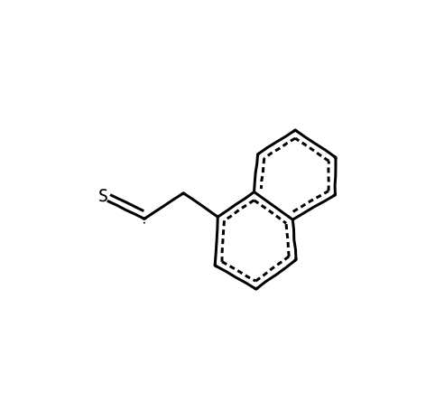 S=[C]Cc1cccc2ccccc12